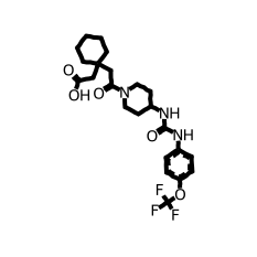 O=C(O)CC1(CC(=O)N2CCC(NC(=O)Nc3ccc(OC(F)(F)F)cc3)CC2)CCCCC1